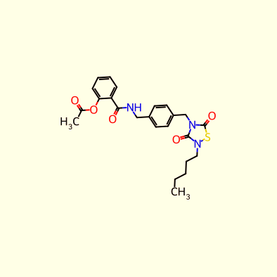 CCCCCn1sc(=O)n(Cc2ccc(CNC(=O)c3ccccc3OC(C)=O)cc2)c1=O